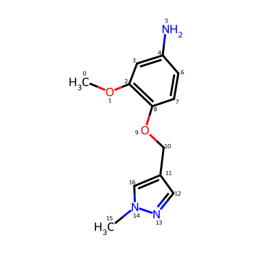 COc1cc(N)ccc1OCc1cnn(C)c1